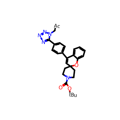 CC(=O)Cn1nnnc1-c1ccc(C2=CC3(CCN(C(=O)OC(C)(C)C)CC3)Oc3ccccc32)cc1